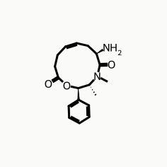 C[C@@H]1[C@@H](c2ccccc2)OC(=O)CCC=CC[C@@H](N)C(=O)N1C